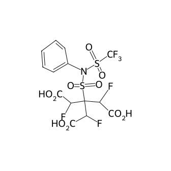 O=C(O)C(F)C(C(F)C(=O)O)(C(F)C(=O)O)S(=O)(=O)N(c1ccccc1)S(=O)(=O)C(F)(F)F